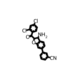 N#Cc1cccc(-c2ccc3c(c2)OC(C(=O)c2ccc(Cl)cc2Cl)C3N)c1